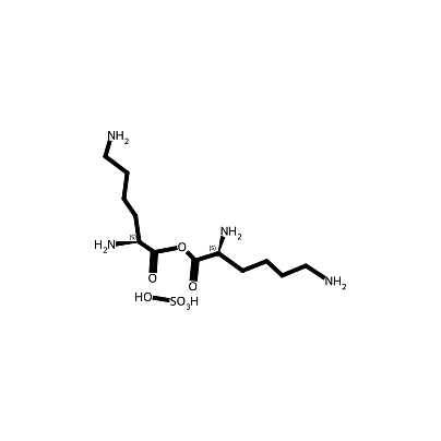 NCCCC[C@H](N)C(=O)OC(=O)[C@@H](N)CCCCN.O=S(=O)(O)O